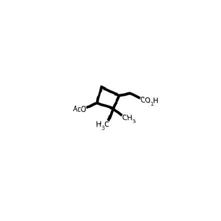 CC(=O)OC1CC(CC(=O)O)C1(C)C